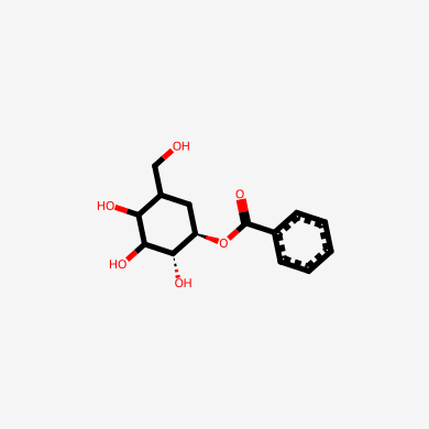 O=C(O[C@@H]1CC(CO)C(O)C(O)[C@H]1O)c1ccccc1